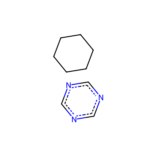 C1CCCCC1.c1ncncn1